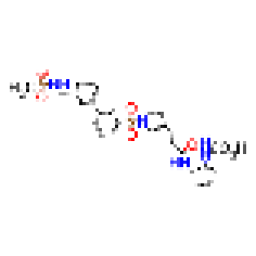 CS(=O)(=O)NCc1cccc(-c2cccc(S(=O)(=O)n3ccc(C=CC(=O)Nc4ccccc4NC(=O)O)c3)c2)c1